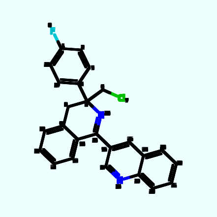 Fc1ccc(C2(CCl)Cc3ccccc3C(c3cnc4ccccc4c3)=N2)cc1